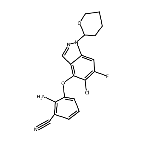 N#Cc1cccc(Oc2c(Cl)c(F)cc3c2cnn3C2CCCCO2)c1N